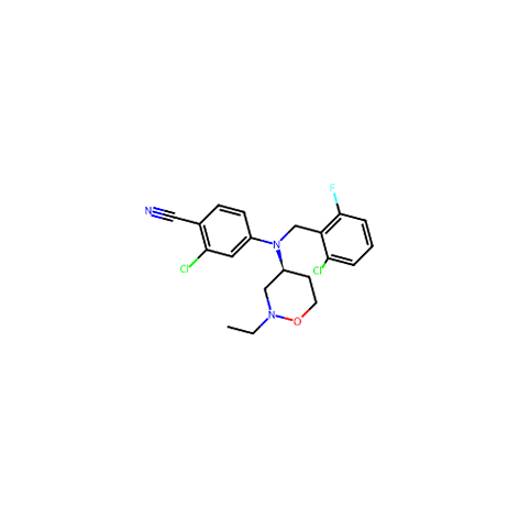 CCN1C[C@@H](N(Cc2c(F)cccc2Cl)c2ccc(C#N)c(Cl)c2)CCO1